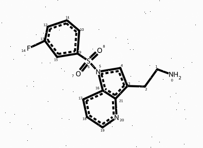 NCCc1cn(S(=O)(=O)c2cccc(F)c2)c2cccnc12